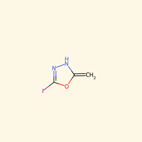 C=C1NN=C(I)O1